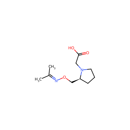 CC(C)=NOC[C@@H]1CCCN1CC(=O)O